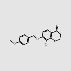 COc1ccc(COc2ccc3c(c2Br)OCCC3=O)cc1